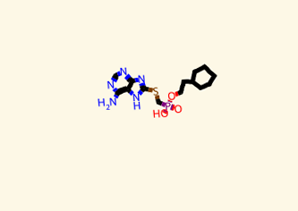 Nc1ncnc2nc(SCP(=O)(O)OCCC3CCCCC3)[nH]c12